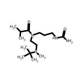 CC(C)C(=O)N(CCCNC(N)=O)CCN(C)C(C)(C)C